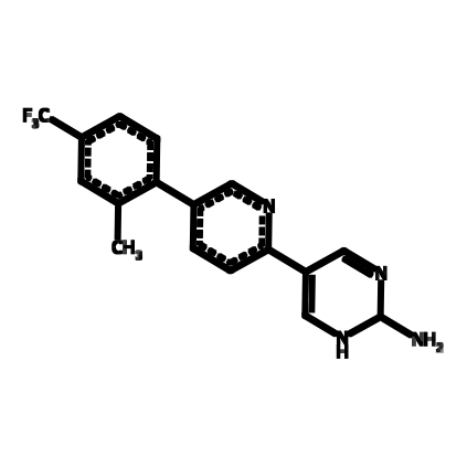 Cc1cc(C(F)(F)F)ccc1-c1ccc(C2=CNC(N)N=C2)nc1